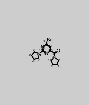 CC(C)(C)c1cc(C(=O)N2CCCC2)nc(N2CCCC2)n1